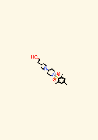 Cc1cc(C)c(S(=O)(=O)N2CCC(N3CCC(CCO)CC3)CC2)c(C)c1